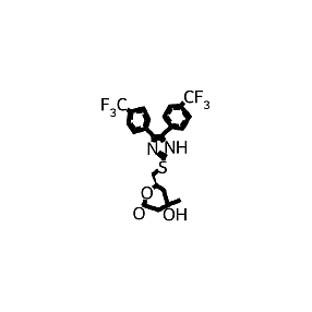 CC1(O)CC(=O)O[C@@H](CSc2nc(-c3ccc(C(F)(F)F)cc3)c(-c3ccc(C(F)(F)F)cc3)[nH]2)C1